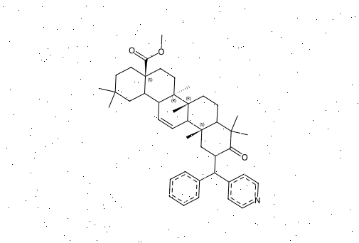 COC(=O)[C@]12CCC(C)(C)CC1C1C=CC3[C@@]4(C)CC(C(c5ccccc5)c5ccncc5)C(=O)C(C)(C)C4CC[C@@]3(C)[C@]1(C)CC2